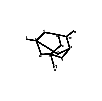 CCC12CC3CC(C)(CC(C1)C3C)C2